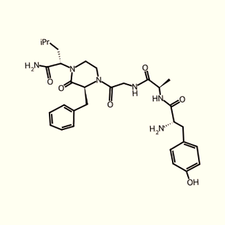 CC(C)C[C@@H](C(N)=O)N1CCN(C(=O)CNC(=O)[C@@H](C)NC(=O)[C@@H](N)Cc2ccc(O)cc2)[C@@H](Cc2ccccc2)C1=O